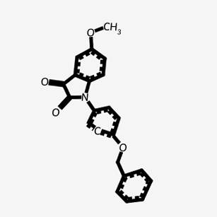 COc1ccc2c(c1)C(=O)C(=O)N2c1ccc(OCc2ccccc2)cc1